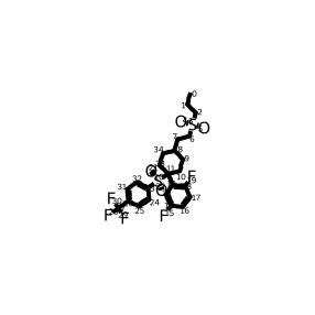 CCCS(=O)(=O)CCC1CCC(c2cc(F)ccc2F)(S(=O)(=O)c2ccc(C(F)(F)F)cc2)CC1